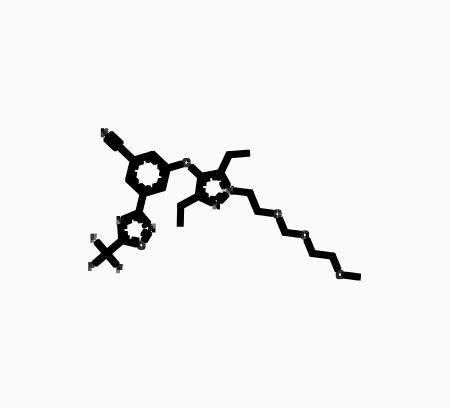 CCc1nn(CCOCOCCOC)c(CC)c1Oc1cc(C#N)cc(-c2noc(C(F)(F)F)n2)c1